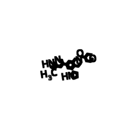 Cc1c[nH]c2ncc(-c3cc4c(c([C@@H]5CCCN5)c3)CCN(C(=O)C3CCOCC3)C4)cc12